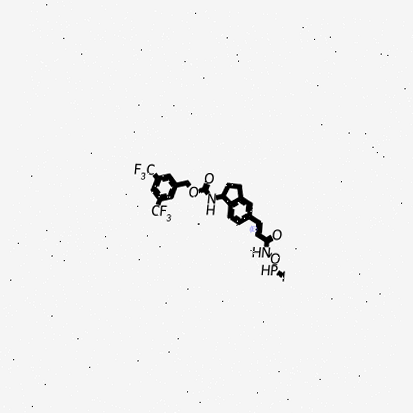 O=C(/C=C/c1ccc2c(c1)CCC2NC(=O)OCc1cc(C(F)(F)F)cc(C(F)(F)F)c1)NOPI